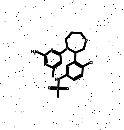 Cc1cc(N2CCCOCC2c2cc(NS(C)(=O)=O)ccc2Cl)nc(N)n1